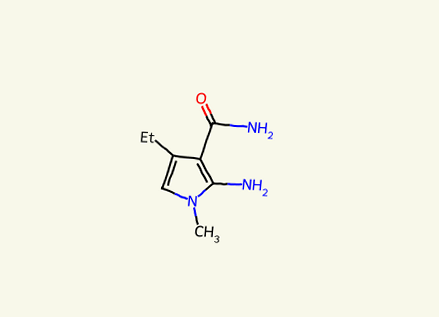 CCc1cn(C)c(N)c1C(N)=O